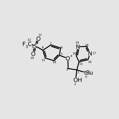 CC(C)(C)C(O)(COc1ccc(S(=O)(=O)C(F)(F)F)cc1)c1cncnc1